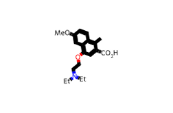 CCN(CC)CCOc1cc(C(=O)O)c(C)c2ccc(OC)cc12